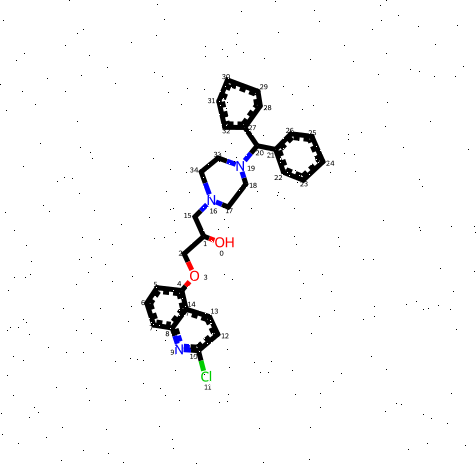 OC(COc1cccc2nc(Cl)ccc12)CN1CCN(C(c2ccccc2)c2ccccc2)CC1